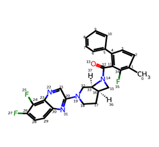 Cc1ccc(-c2ccccc2)c(C(=O)N2C[C@H]3CCN(c4cnc5c(F)c(F)ccc5n4)C[C@H]32)c1F